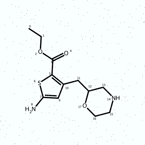 CCOC(=O)c1sc(N)cc1CC1CNCCO1